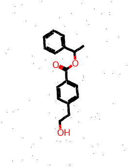 CC(OC(=O)c1ccc(CCO)cc1)c1ccccc1